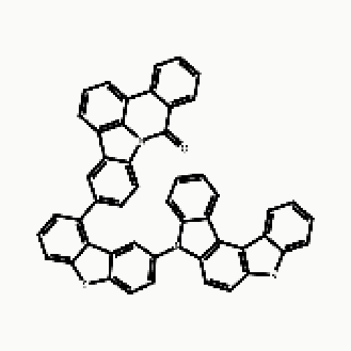 O=c1c2ccccc2c2cccc3c4cc(-c5cccc6sc7ccc(-n8c9ccccc9c9c%10c(ccc98)sc8ccccc8%10)cc7c56)ccc4n1c23